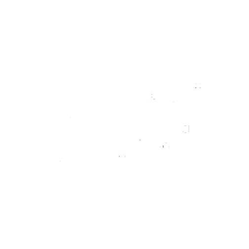 O=C(Cl)Oc1cc2ccccc2oc1=O